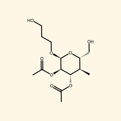 CC(=O)O[C@H]1[C@@H](OCCCO)O[C@H](CO)[C@@H](C)[C@@H]1OC(C)=O